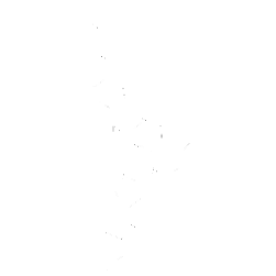 C=CC(=O)Nc1ccnc(-n2ccc(=O)c3cnc(Nc4ccc(N5CCN(C)CC5)c(F)c4F)nc32)c1